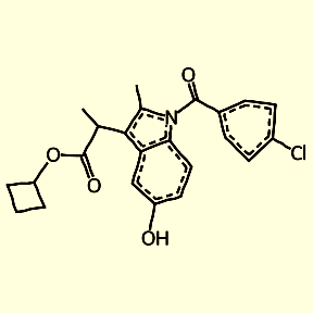 Cc1c(C(C)C(=O)OC2CCC2)c2cc(O)ccc2n1C(=O)c1ccc(Cl)cc1